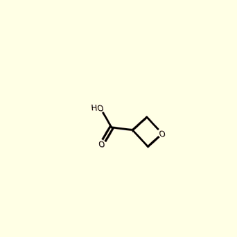 O=C(O)[C]1COC1